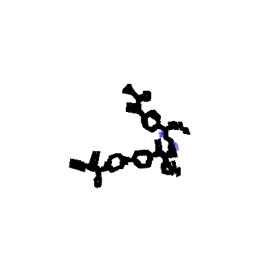 C=C(/N=C\C=C(/N)c1ccc(NC(=O)C2CC2)cc1)Nc1ccc(N2CCN(C(=O)NCC)CC2)cc1